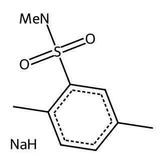 CNS(=O)(=O)c1cc(C)ccc1C.[NaH]